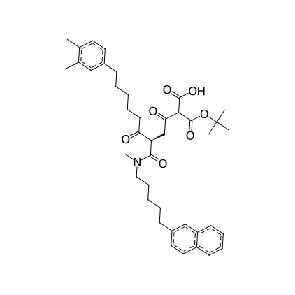 Cc1ccc(CCCCCC(=O)[C@@H](CC(=O)C(C(=O)O)C(=O)OC(C)(C)C)C(=O)N(C)CCCCCc2ccc3ccccc3c2)cc1C